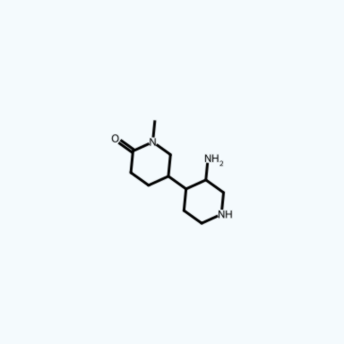 CN1CC(C2CCNCC2N)CCC1=O